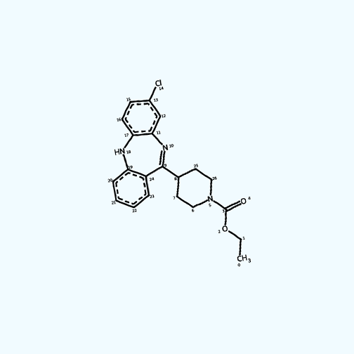 CCOC(=O)N1CCC(C2=Nc3cc(Cl)ccc3Nc3ccccc32)CC1